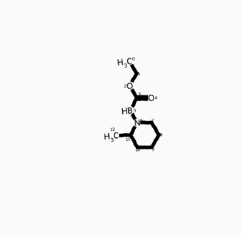 CCOC(=O)BN1CCCCC1C